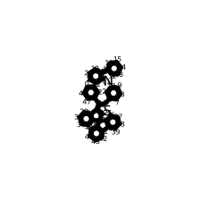 c1ccc(-c2c(-c3cccc(-n4c5ccccc5c5ccccc54)c3)sc3c2-c2ccccc2C32c3ccccc3-c3ccccc32)cc1